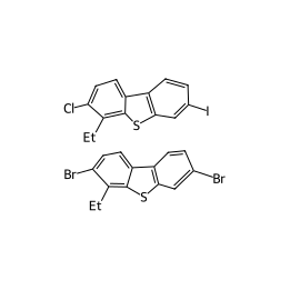 CCc1c(Br)ccc2c1sc1cc(Br)ccc12.CCc1c(Cl)ccc2c1sc1cc(I)ccc12